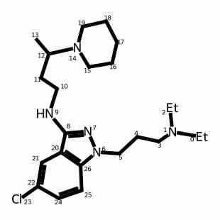 CCN(CC)CCCn1nc(NCCC(C)N2CCCCC2)c2cc(Cl)ccc21